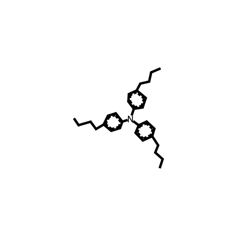 CCCCc1ccc(N(c2ccc(CCCC)cc2)c2ccc(CCCC)cc2)cc1